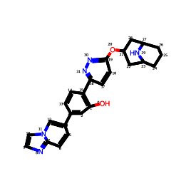 Oc1cc(-c2ccc3nccn3c2)ccc1-c1ccc(OC2CC3CCCC(C2)N3)nn1